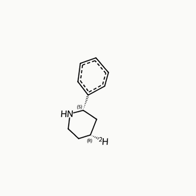 [2H][C@@H]1CCN[C@H](c2ccccc2)C1